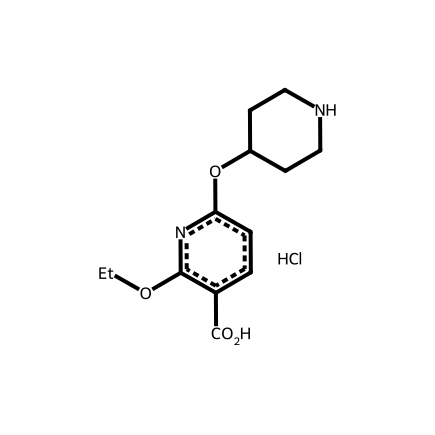 CCOc1nc(OC2CCNCC2)ccc1C(=O)O.Cl